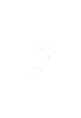 Cc1cnn2cc(-c3cnn(C(C)(C)C)c3)nc(Cl)c12